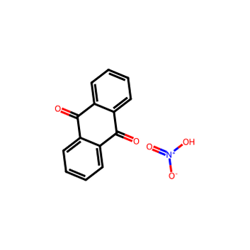 O=C1c2ccccc2C(=O)c2ccccc21.O=[N+]([O-])O